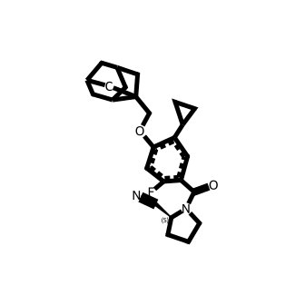 N#C[C@@H]1CCCN1C(=O)c1cc(C2CC2)c(OCC23CC4CC(CC2C4)C3)cc1F